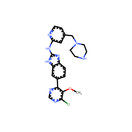 COc1c(Cl)ncnc1-c1ccc2nc(Nc3cc(CN4CCNCC4)ccn3)[nH]c2c1